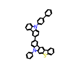 c1ccc(-c2ccc(-n3c4ccccc4c4cc(-c5ccc6c(c5)c5cc7c(cc5n6-c5ccccc5)sc5ccccc57)ccc43)cc2)cc1